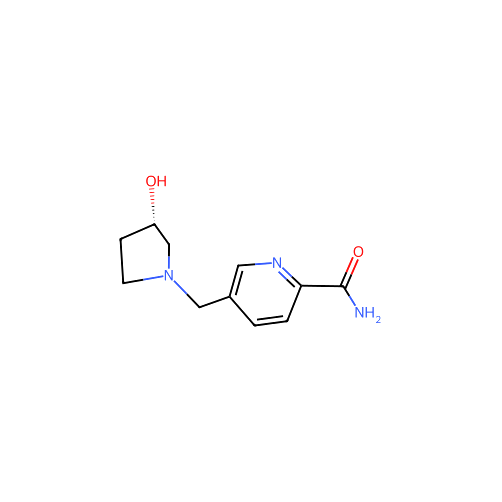 NC(=O)c1ccc(CN2CC[C@H](O)C2)cn1